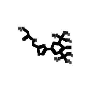 CC(C)(C)c1cc(-c2csc(CNC(=O)CN)n2)cc(C(C)(C)C)c1O